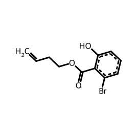 C=CCCOC(=O)c1c(O)cccc1Br